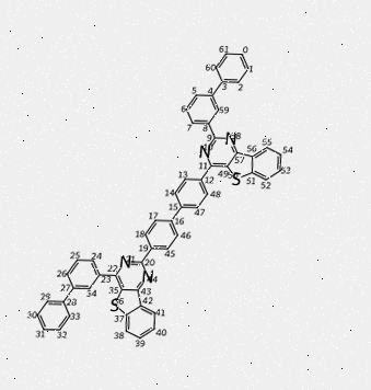 c1ccc(-c2cccc(-c3nc(-c4ccc(-c5ccc(-c6nc(-c7cccc(-c8ccccc8)c7)c7sc8ccccc8c7n6)cc5)cc4)c4sc5ccccc5c4n3)c2)cc1